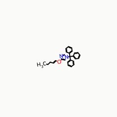 CCCC=COc1cn(C(c2ccccc2)(c2ccccc2)c2ccccc2)cn1